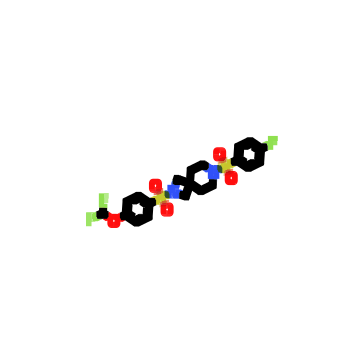 O=S(=O)(c1ccc(F)cc1)N1CCC2(CC1)CN(S(=O)(=O)c1ccc(OC(F)F)cc1)C2